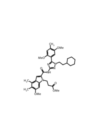 COC(=O)CCn1c(C(=O)Nc2nc(-c3cc(OC)c(C)cc3OC)n(CCC3CCCCC3)n2)cc2c(C)c(C)c(OC)cc21